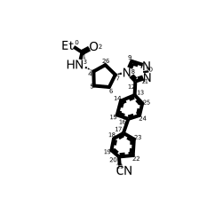 CCC(=O)N[C@H]1CC[C@@H](n2cnnc2-c2ccc(-c3ccc(C#N)cc3)cc2)C1